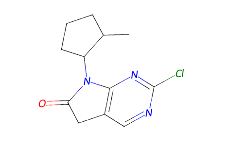 CC1CCCC1N1C(=O)Cc2cnc(Cl)nc21